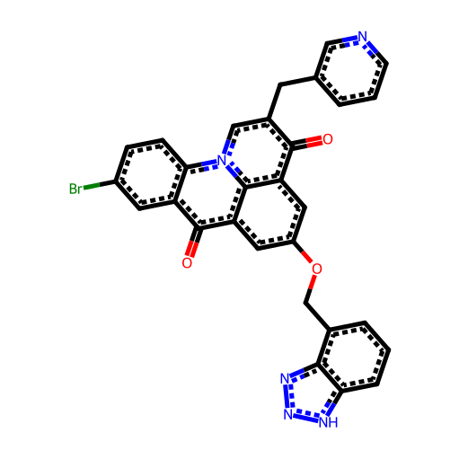 O=c1c(Cc2cccnc2)cn2c3ccc(Br)cc3c(=O)c3cc(OCc4cccc5[nH]nnc45)cc1c32